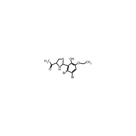 CCOc1cc(Br)c(Br)c(C2NC(C(C)=O)CS2)c1O